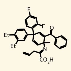 C=CCC(=NC1(C)C=CC(c2ccc(CC)c(CC)c2)(c2ccc(F)cc2F)C=C1C(=O)c1ccccc1)C(=O)O